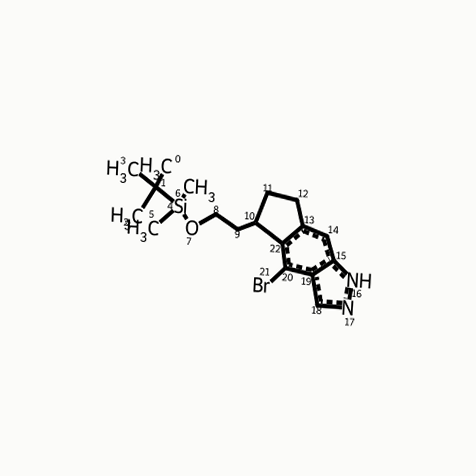 CC(C)(C)[Si](C)(C)OCCC1CCc2cc3[nH]ncc3c(Br)c21